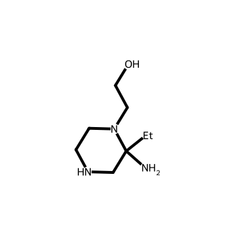 CCC1(N)CNCCN1CCO